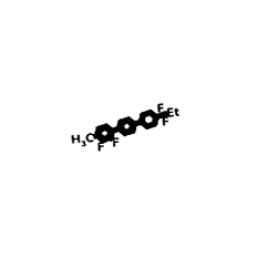 CCC(F)(F)C1CCC(c2ccc(-c3ccc(C)c(F)c3F)cc2)CC1